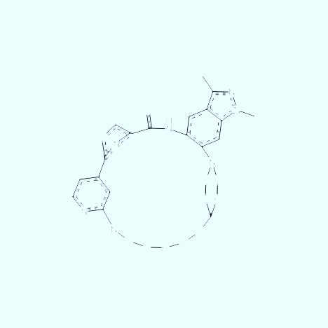 Cc1nn(C)c2cc3c(cc12)NC(=O)c1coc(n1)-c1ccnc(c1)NCCCOCC1CCN3CC1